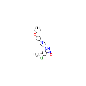 CCCO[C@H]1CC[C@@H](N2CCC(Nc3cc(C)c(Cl)cc3N=O)CC2)CC1